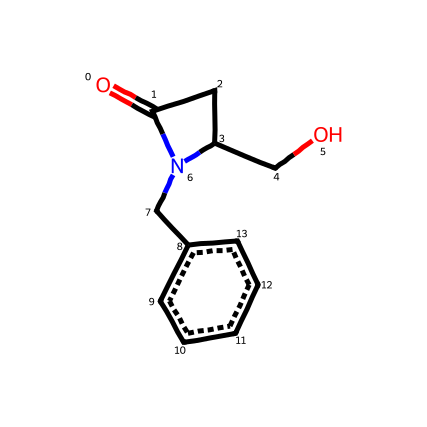 O=C1CC(CO)N1Cc1ccccc1